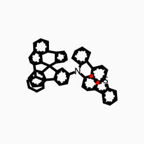 c1ccc(-c2ccccc2N(c2ccc3c(c2)C2(c4ccccc4-3)c3ccccc3-c3cccc4ccc(C5CCCCC5)c2c34)c2ccc3c(c2)sc2ccccc23)cc1